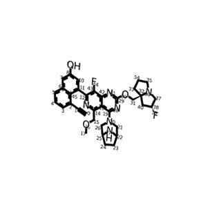 C#Cc1cccc2cc(O)cc(-c3nc(COC)c4c(N5CC6CCC(C5)N6)nc(OC[C@@]56CCCN5C[C@H](F)C6)nc4c3F)c12